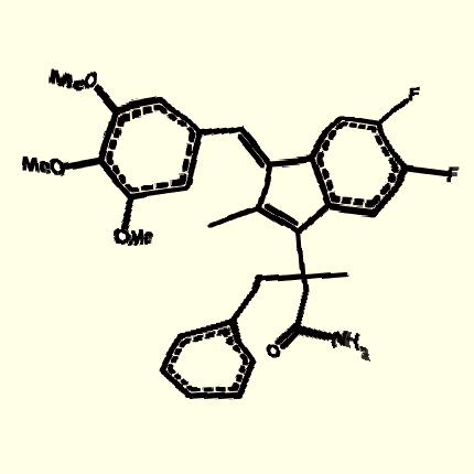 COc1cc(C=C2C(C)=C(C(C)(Cc3ccccc3)C(N)=O)c3cc(F)c(F)cc32)cc(OC)c1OC